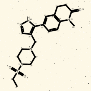 CCS(=O)(=O)N1CCN(Cc2cn[nH]c2-c2ccc3c(c2)CCC(=O)N3C)CC1